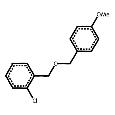 COc1ccc(COCc2c[c]ccc2Cl)cc1